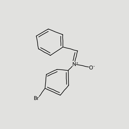 [O-]/[N+](=C/c1ccccc1)c1ccc(Br)cc1